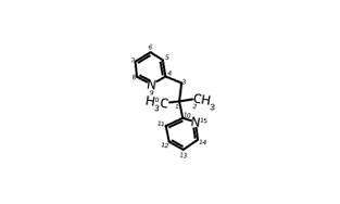 CC(C)(Cc1ccccn1)c1ccccn1